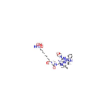 CCc1nc2ccccc2n1-c1nc(N2CCOCC2)c2nc(CN3CCN(C(=O)CCCCCCCCC(=O)NO)CC3=O)n(C)c2n1